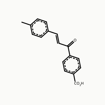 Cc1ccc(C=CC(=O)c2ccc(C(=O)O)cc2)cc1